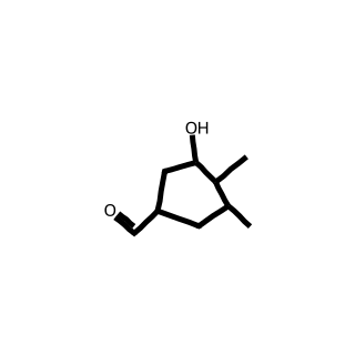 CC1CC(C=O)CC(O)C1C